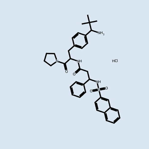 CC(C)(C)C(N)c1ccc(CC(NC(=O)CC(NS(=O)(=O)c2ccc3ccccc3c2)c2ccccc2)C(=O)N2CCCC2)cc1.Cl